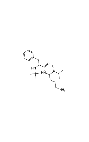 CC(C)C(=O)C(CCCN)NC(=O)C(Cc1ccccc1)NC(C)(C)C